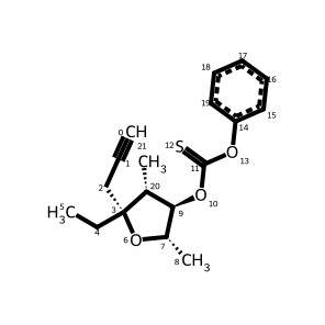 C#CC[C@@]1(CC)O[C@@H](C)[C@H](OC(=S)Oc2ccccc2)[C@H]1C